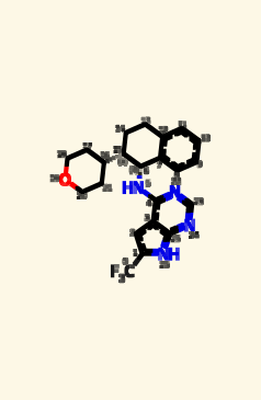 FC(F)(F)c1cc2c(N[C@H]3c4ccccc4CC[C@H]3C3CCOCC3)ncnc2[nH]1